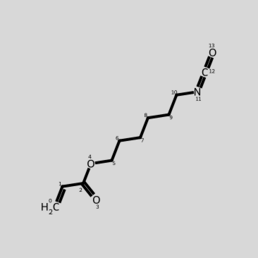 C=CC(=O)OCCCCCCN=C=O